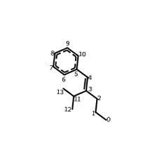 CCCC(=Cc1ccccc1)C(C)C